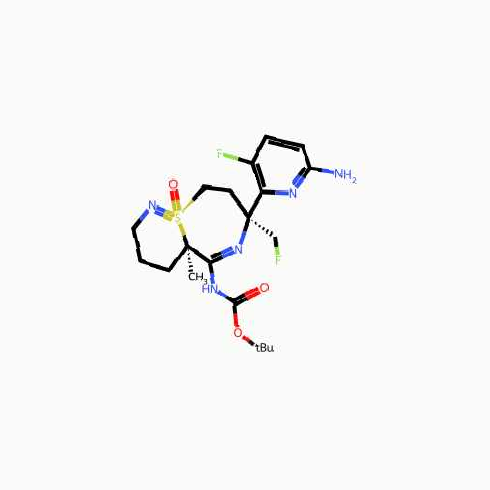 CC(C)(C)OC(=O)NC1=N[C@](CF)(c2nc(N)ccc2F)CC[S@]2(=O)=NCCC[C@]12C